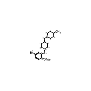 COc1ccc(Br)cc1SN1CCC(CN2CCC(C)CC2)CC1